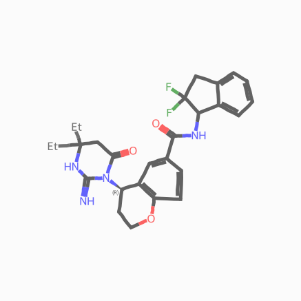 CCC1(CC)CC(=O)N([C@@H]2CCOc3ccc(C(=O)NC4c5ccccc5CC4(F)F)cc32)C(=N)N1